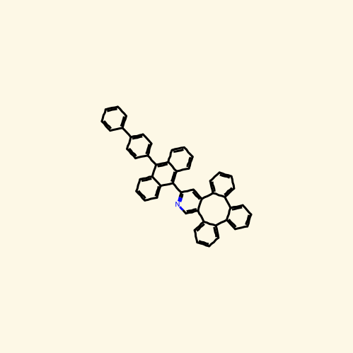 c1ccc(-c2ccc(-c3c4ccccc4c(-c4cc5c(cn4)-c4ccccc4-c4ccccc4-c4ccccc4-5)c4ccccc34)cc2)cc1